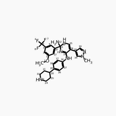 COc1cc(C(F)(F)F)cc(C2(N)N=C(Nc3ccc(C4CCNCC4)cc3)C(c3cnn(C)c3)=CN2)c1